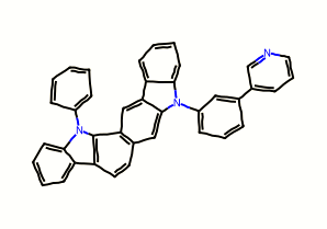 c1ccc(-n2c3ccccc3c3ccc4cc5c(cc4c32)c2ccccc2n5-c2cccc(-c3cccnc3)c2)cc1